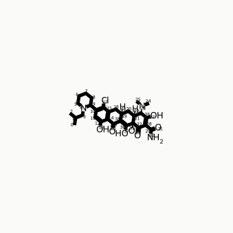 CC(C)CN1CCCCC1c1cc(O)c2c(c1Cl)C[C@H]1C[C@H]3[C@H](N(C)C)C(O)=C(C(N)=O)C(=O)[C@@]3(O)C(O)=C1C2=O